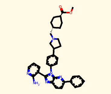 COC(=O)[C@H]1CC[C@H](CN2CCC(c3ccc(-n4c(-c5cccnc5N)nc5ccc(-c6ccccc6)nc54)cc3)C2)CC1